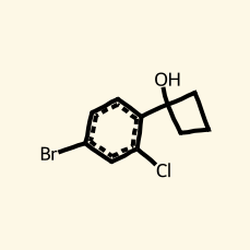 OC1(c2ccc(Br)cc2Cl)CCC1